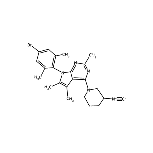 [C-]#[N+]C1CCCN(c2nc(C)nc3c2c(C)c(C)n3-c2c(C)cc(Br)cc2C)C1